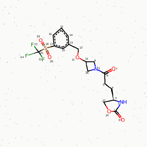 O=C1N[C@H](CCC(=O)N2CC(OCc3cccc(S(=O)(=O)C(F)(F)F)c3)C2)CO1